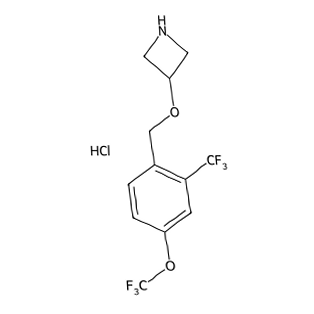 Cl.FC(F)(F)Oc1ccc(COC2CNC2)c(C(F)(F)F)c1